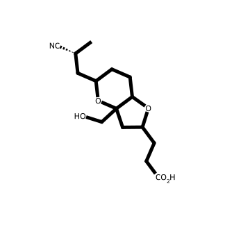 C[C@@H](C#N)CC1CCC2OC(CCC(=O)O)CC2(CO)O1